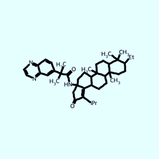 CCC1CCC2(C)C(CCC3(C)C4CCC5(NC(=O)C(C)(C)c6ccc7nccnc7c6)CC(=O)C(C(C)C)=C5C4CCC32)C1(C)C